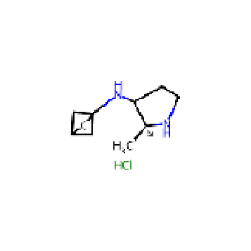 C[C@@H]1NCCC1NC12CC(C1)C2.Cl